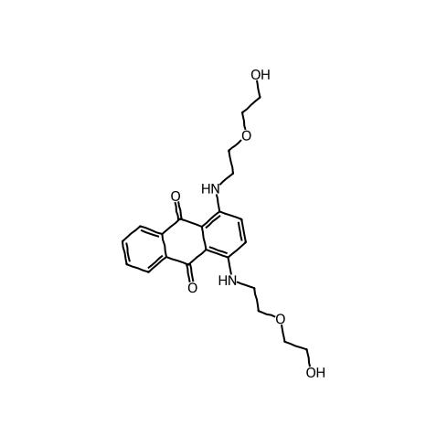 O=C1c2ccccc2C(=O)c2c(NCCOCCO)ccc(NCCOCCO)c21